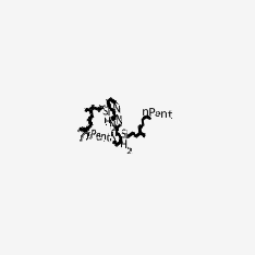 CCCCCC(C)CCCC(C)CCC[SiH2]c1cccnc1-c1cnc(-c2ncccc2[SiH2]CCCC(C)CCCC(C)CCCCC)cn1